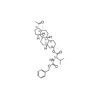 CC(=O)[C@H]1CC[C@H]2[C@@H]3CC[C@H]4C[C@](C)(OC(=O)[C@@H](NC(=O)OCc5ccccc5)C(C)C)CC[C@]4(C)[C@H]3CC[C@]12C